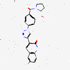 O=C(c1ccc(-n2cc(-c3cc4cc(F)ccc4[nH]c3=O)nn2)cc1)N1CCC[C@@H]1CO